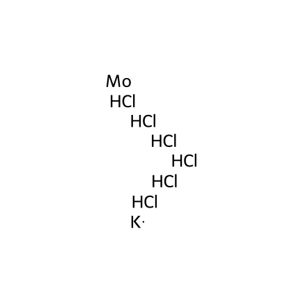 Cl.Cl.Cl.Cl.Cl.Cl.[K].[Mo]